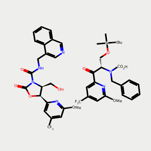 COc1cc(C(F)(F)F)cc(C(=O)[C@H](CO[Si](C)(C)C(C)(C)C)N(Cc2ccccc2)C(=O)O)n1.COc1cc(C(F)(F)F)cc([C@H]2OC(=O)N(C(=O)NCc3cncc4ccccc34)[C@H]2CO)n1